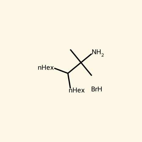 Br.CCCCCCC(CCCCCC)C(C)(C)N